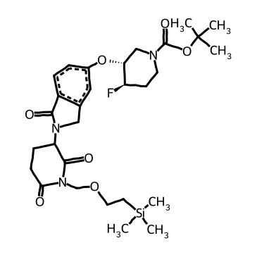 CC(C)(C)OC(=O)N1CC[C@@H](F)[C@H](Oc2ccc3c(c2)CN(C2CCC(=O)N(COCC[Si](C)(C)C)C2=O)C3=O)C1